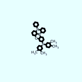 Cc1ccc(N(c2ccc(C)c(C)c2)c2ccc3c(c2)Oc2cccc4c2B3c2ccccc2N4c2ccccc2)cc1C